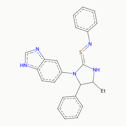 CCC1NC(=S=Nc2ccccc2)N(c2ccc3[nH]cnc3c2)C1c1ccccc1